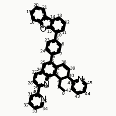 CCC1c2c(c(-c3ccc(-c4cccc5c4oc4ccccc45)cc3)cc3ccc(-c4ccccn4)nc23)C=CC1c1ccccn1